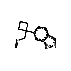 C=NCC1(c2ccc3cn[nH]c3c2)CCC1